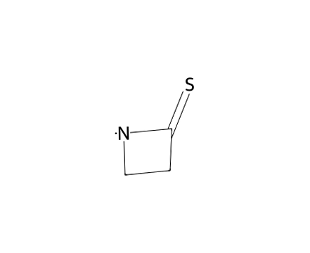 S=C1CC[N]1